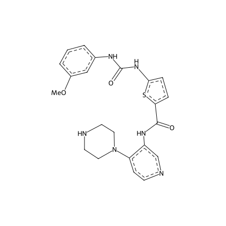 COc1cccc(NC(=O)Nc2ccc(C(=O)Nc3cnccc3N3CCNCC3)s2)c1